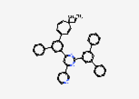 C=CC1(C)C=CC=C(c2cc(-c3ccccc3)cc(-c3cc(-c4cccnc4)nc(-c4cc(-c5ccccc5)cc(-c5ccccc5)c4)n3)c2)C=C1